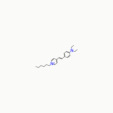 CCCCCC[n+]1ccc(/C=C/c2ccc(N(CC)CC)cc2)cc1